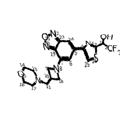 OC(c1nc(-c2cc(N3CC(CN4CCOCC4)C3)c3nonc3c2)cs1)C(F)(F)F